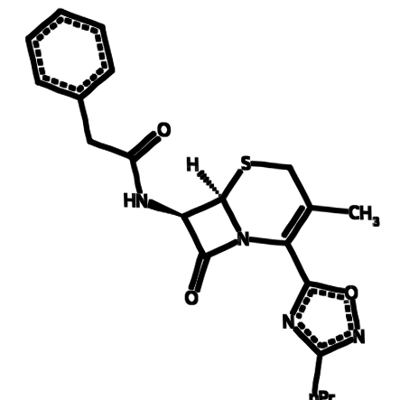 CCCc1noc(C2=C(C)CS[C@@H]3[C@H](NC(=O)Cc4ccccc4)C(=O)N23)n1